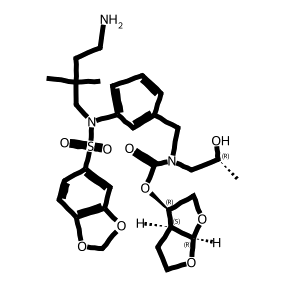 C[C@@H](O)CN(Cc1cccc(N(CC(C)(C)CCN)S(=O)(=O)c2ccc3c(c2)OCO3)c1)C(=O)O[C@H]1CO[C@H]2OCC[C@H]21